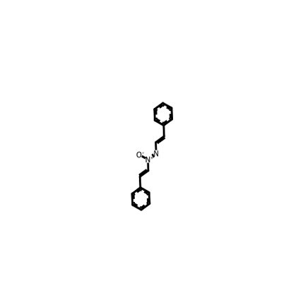 [O-][N+](C=Cc1ccccc1)=NC=Cc1ccccc1